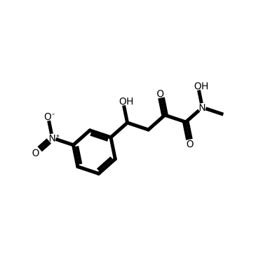 CN(O)C(=O)C(=O)CC(O)c1cccc([N+](=O)[O-])c1